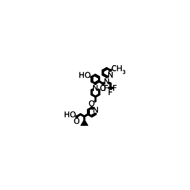 Cc1cccc(N(CC(F)(F)F)C(=O)c2ccc(O)cc2N2CCC(COc3cc(C(CC(=O)O)C4CC4)ccn3)CC2)n1